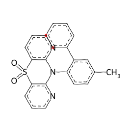 Cc1ccc(N2c3ncccc3S(=O)(=O)c3cccnc32)c(-c2ccccc2)c1